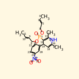 CC=CCOP(=O)(OCC=CC)C1=C(C)NC(C)=CC1c1cccc([N+](=O)[O-])c1